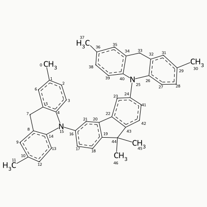 Cc1ccc2c(c1)Cc1cc(C)ccc1N2c1ccc2c(c1)-c1cc(N3c4ccc(C)cc4Cc4cc(C)ccc43)ccc1C2(C)C